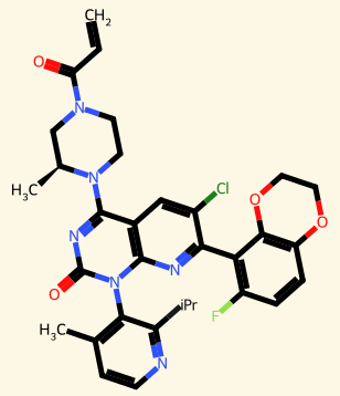 C=CC(=O)N1CCN(c2nc(=O)n(-c3c(C)ccnc3C(C)C)c3nc(-c4c(F)ccc5c4OCCO5)c(Cl)cc23)[C@@H](C)C1